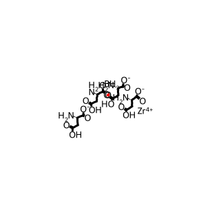 B.N[C@@H](CC(=O)O)C(=O)[O-].N[C@@H](CC(=O)O)C(=O)[O-].N[C@@H](CC(=O)O)C(=O)[O-].N[C@@H](CC(=O)O)C(=O)[O-].[Zr+4]